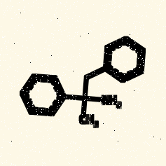 CC(N)(Cc1ccccc1)c1ccccc1